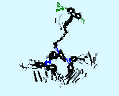 CC(C)(C)c1ccc2c(c1)c1cc(C(C)(C)C)ccc1n2-c1ccc2c(c1)c1cc(-n3c4ccc(C(C)(C)C)cc4c4cc(C(C)(C)C)ccc43)ccc1n2CCCCCCCCCCC1(C)c2cc(Br)ccc2-c2ccc(Br)cc21